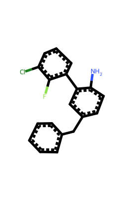 Nc1ccc(Cc2ccccc2)cc1-c1cccc(Cl)c1F